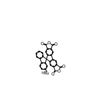 CCCCc1ccc2c(c1)C1(c3ccccc3-2)c2cc3c(cc2-c2cc4c(cc21)C(=O)OC4=O)C(=O)OC3=O